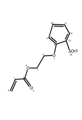 C=CC(=O)OCCOc1ccccc1CCCCCCCC